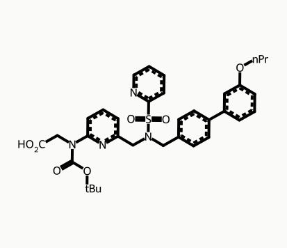 CCCOc1cccc(-c2ccc(CN(Cc3cccc(N(CC(=O)O)C(=O)OC(C)(C)C)n3)S(=O)(=O)c3ccccn3)cc2)c1